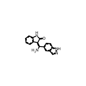 NC(=C1C(=O)Nc2ccccc21)c1ccc2[nH]ncc2c1